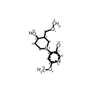 COCC1CN(c2cc(OC)ncc2Cl)CCC1O